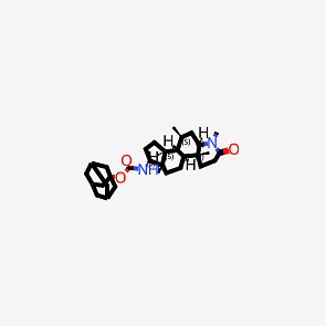 C[C@H]1C[C@H]2N(C)C(=O)CC[C@]2(C)[C@H]2CC[C@]3(C)[C@@H](NC(=O)OC45CC6CC(CC(C6)C4)C5)CC[C@H]3[C@H]12